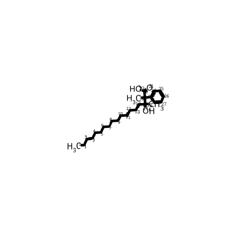 CCCCCCCCCCCCCCCC(C)(O)C(C)(C(=O)O)c1ccccc1